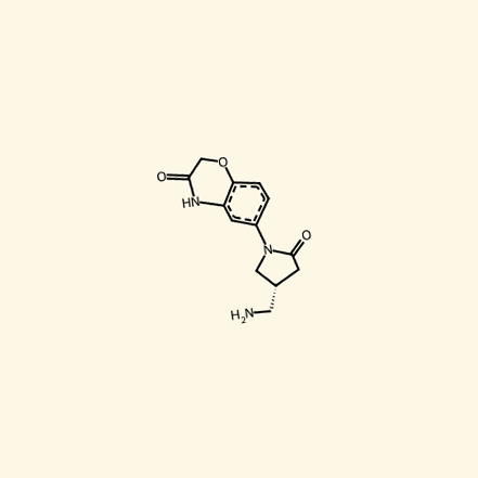 NC[C@H]1CC(=O)N(c2ccc3c(c2)NC(=O)CO3)C1